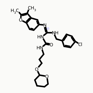 Cc1oc2ccc(/N=C(/NCc3ccc(Cl)cc3)NC(=O)NCCCOC3CCCCO3)cc2c1C